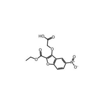 CCOC(=O)c1oc2ccc([N+](=O)[O-])cc2c1OCC(=O)O